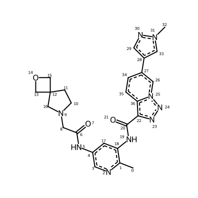 Cc1ncc(NC(=O)CN2CCC3(COC3)C2)cc1NC(=O)c1nnn2cc(-c3cnn(C)c3)ccc12